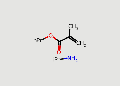 C=C(C)C(=O)OCCC.CC(C)N